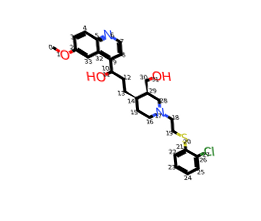 COc1ccc2nccc(C(O)CC[C@@H]3CCN(CCSc4ccccc4Cl)C[C@@H]3CO)c2c1